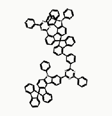 c1ccc(-c2nc(-c3cccc(-c4cccc5c4-c4ccccc4C54c5cccc(-c6nc(-c7ccccc7)nc(-c7ccccc7)n6)c5-c5c4ccc4c5c5ccccc5n4-c4ccccc4)c3)nc(-c3ccc4c5c6c(ccc5n(-c5ccccc5)c4c3)C3(c4ccccc4-c4ccccc43)c3ccccc3-6)n2)cc1